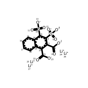 O=C([O-])c1c(S(=O)(=O)[O-])c(S(=O)(=O)[O-])c2ccccc2c1C(=O)[O-].[Li+].[Li+].[Li+].[Li+]